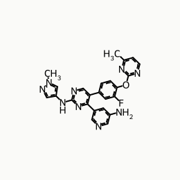 Cc1ccnc(Oc2ccc(-c3cnc(Nc4cnn(C)c4)nc3-c3cncc(N)c3)cc2F)n1